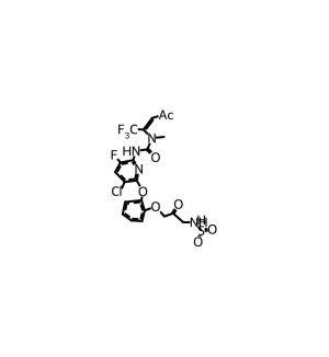 CC(=O)/C=C(\N(C)C(=O)Nc1nc(Oc2ccccc2OCC(=O)CN[SH](=O)=O)c(Cl)cc1F)C(F)(F)F